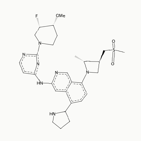 CO[C@@H]1CCN(c2nccc(Nc3cc4c(C5CCCN5)ccc(N5C[C@H](CS(C)(=O)=O)[C@H]5C)c4cn3)n2)C[C@@H]1F